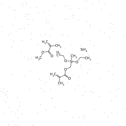 C=C(C)C(=O)OC[Si](C)(OCC)OCC.[CH2]OC(=O)C(=C)C.[SiH4]